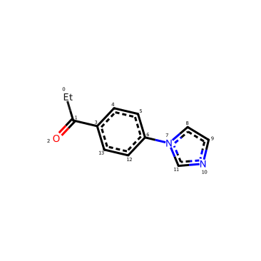 CCC(=O)c1ccc(-n2ccnc2)cc1